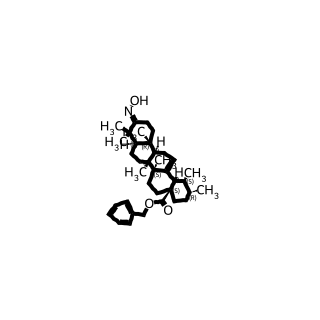 C[C@H]1[C@H](C)CC[C@]2(C(=O)OCc3ccccc3)CC[C@]3(C)C(=CC[C@@H]4[C@@]5(C)CCC(=NO)C(C)(C)[C@@H]5CC[C@]43C)[C@H]12